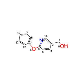 OCc1ccc(Oc2ccccc2)nc1